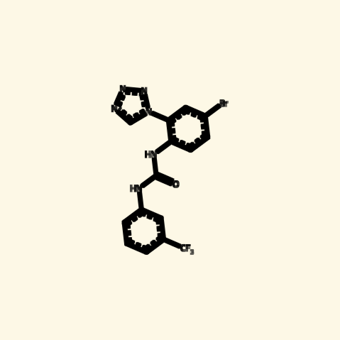 O=C(Nc1cccc(C(F)(F)F)c1)Nc1ccc(Br)cc1-n1cnnn1